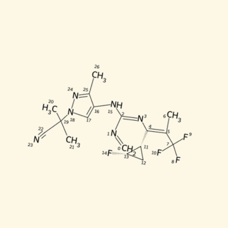 C=N/C(=N\C(=C(/C)C(F)(F)F)[C@@H]1C[C@@H]1F)Nc1cn(C(C)(C)C#N)nc1C